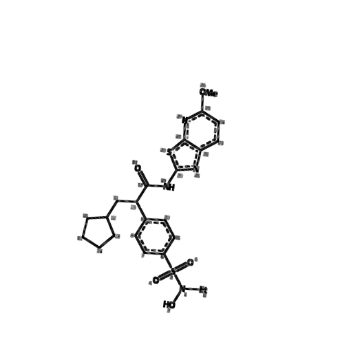 CCN(O)S(=O)(=O)c1ccc(C(CC2CCCC2)C(=O)Nc2nc3ccc(OC)nc3s2)cc1